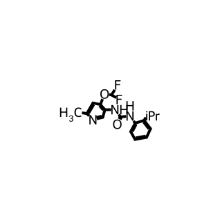 Cc1cc(OC(F)F)c(NC(=O)Nc2ccccc2C(C)C)cn1